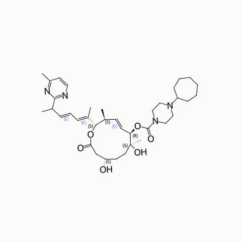 C/C(=C\C=C\C(C)c1nccc(C)n1)[C@H]1OC(=O)C[C@@H](O)CC[C@](C)(O)[C@H](OC(=O)N2CCN(C3CCCCCC3)CC2)/C=C/[C@@H]1C